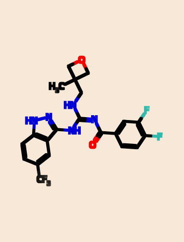 CC1(CN/C(=N/C(=O)c2ccc(F)c(F)c2)Nc2n[nH]c3ccc(C(F)(F)F)cc23)COC1